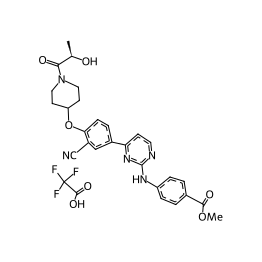 COC(=O)c1ccc(Nc2nccc(-c3ccc(OC4CCN(C(=O)[C@@H](C)O)CC4)c(C#N)c3)n2)cc1.O=C(O)C(F)(F)F